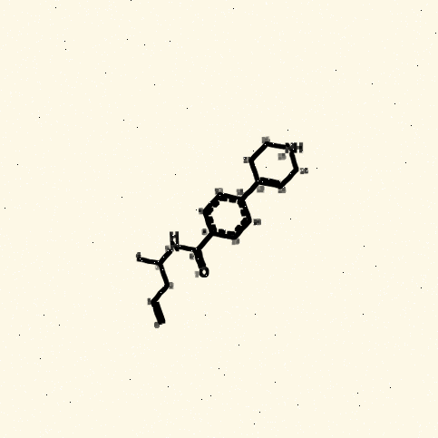 C=CCC(C)NC(=O)c1ccc(C2=CCNCC2)cc1